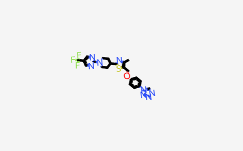 Cc1nc(C2CCN(c3ncc(C(F)(F)F)cn3)CC2)sc1COc1ccc(-n2cnnn2)cc1